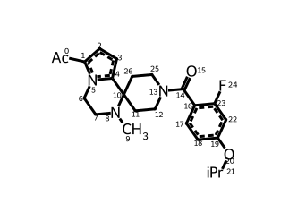 CC(=O)c1ccc2n1CCN(C)C21CCN(C(=O)c2ccc(OC(C)C)cc2F)CC1